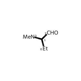 [CH2]CC(C=O)NC